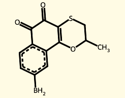 Bc1ccc2c(c1)C1=C(SCC(C)O1)C(=O)C2=O